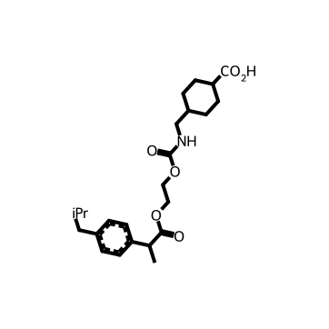 CC(C)Cc1ccc(C(C)C(=O)OCCOC(=O)NCC2CCC(C(=O)O)CC2)cc1